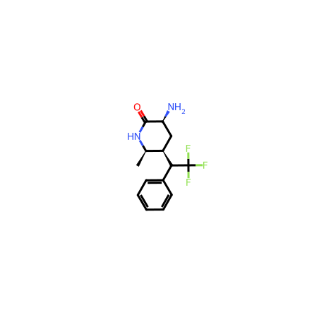 C[C@H]1NC(=O)[C@@H](N)C[C@H]1C(c1ccccc1)C(F)(F)F